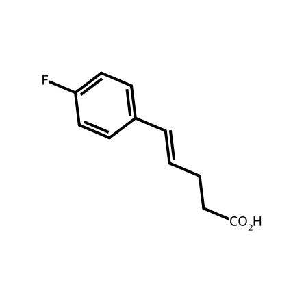 O=C(O)CCC=Cc1ccc(F)cc1